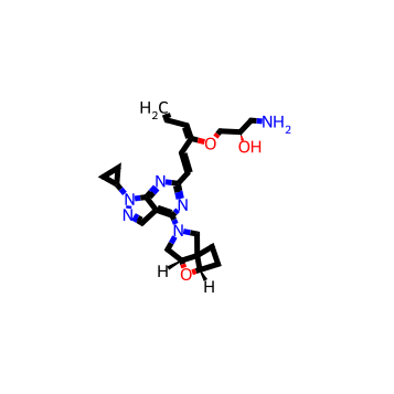 C=C/C=C(\C=C\c1nc(N2C[C@H]3O[C@H]4CCC43C2)c2cnn(C3CC3)c2n1)OC[C@@H](O)CN